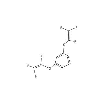 FC(F)=C(F)Oc1cccc(OC(F)=C(F)F)c1